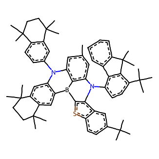 Cc1cc2c3c(c1)N(c1ccc(C(C)(C)C)c4c1-c1ccccc1C4(C)C)c1c(sc4ccc(C(C)(C)C)cc14)B3c1cc3c(cc1N2c1ccc2c(c1)C(C)(C)CCC2(C)C)C(C)(C)CCC3(C)C